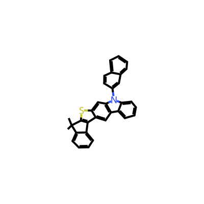 CC1(C)c2ccccc2-c2c1sc1cc3c(cc21)c1ccccc1n3-c1ccc2ccccc2c1